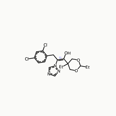 CCC1OCC(CC)(/C(O)=C(/Cc2ccc(Cl)cc2Cl)n2cncn2)CO1